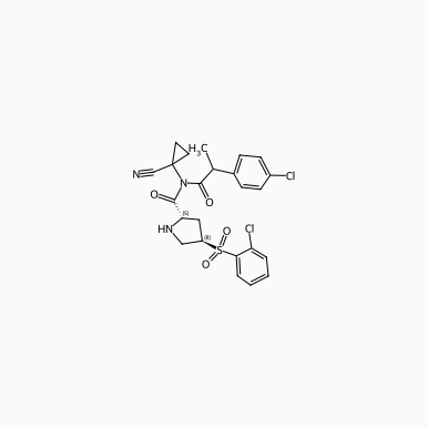 CC(C(=O)N(C(=O)[C@@H]1C[C@@H](S(=O)(=O)c2ccccc2Cl)CN1)C1(C#N)CC1)c1ccc(Cl)cc1